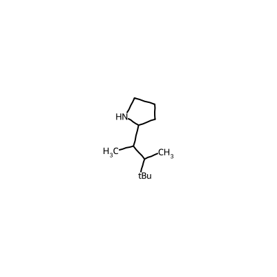 CC(C1CCCN1)C(C)C(C)(C)C